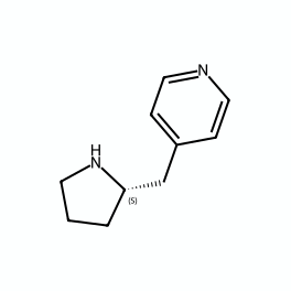 c1cc(C[C@@H]2CCCN2)ccn1